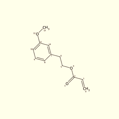 C=CC(=O)OCCc1cccc(OC)c1